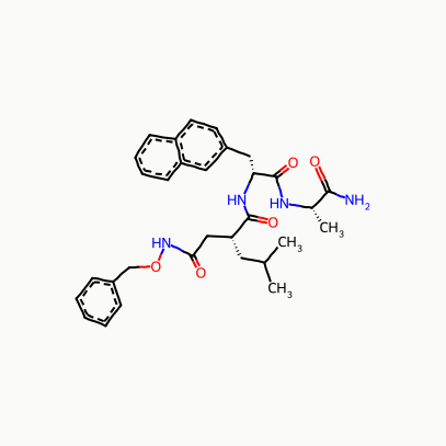 CC(C)C[C@H](CC(=O)NOCc1ccccc1)C(=O)N[C@H](Cc1ccc2ccccc2c1)C(=O)N[C@@H](C)C(N)=O